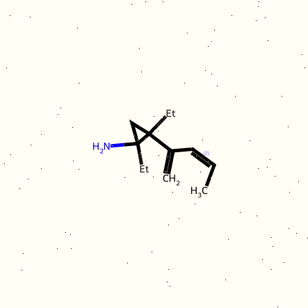 C=C(/C=C\C)C1(CC)CC1(N)CC